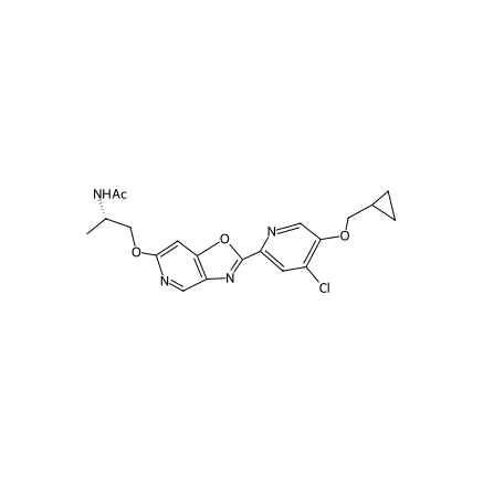 CC(=O)N[C@@H](C)COc1cc2oc(-c3cc(Cl)c(OCC4CC4)cn3)nc2cn1